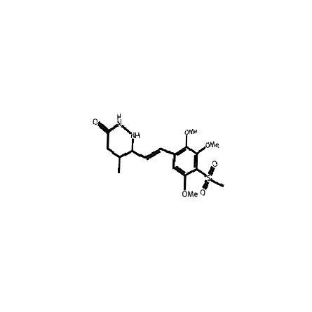 COc1cc(/C=C/C2NNC(=O)CC2C)c(OC)c(OC)c1S(C)(=O)=O